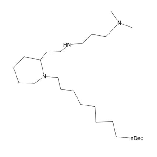 CCCCCCCCCCCCCCCCCCN1CCCCC1CCNCCCN(C)C